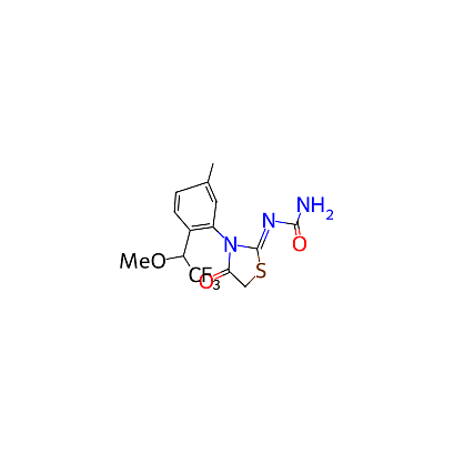 COC(c1ccc(C)cc1N1C(=O)CSC1=NC(N)=O)C(F)(F)F